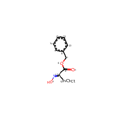 CCCCCCCCC(=NO)C(=O)OCc1ccccc1